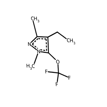 CCc1c(C)nn(C)c1OC(F)(F)F